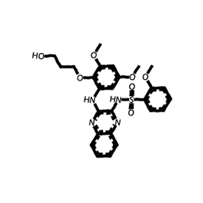 COc1cc(Nc2nc3ccccc3nc2NS(=O)(=O)c2ccccc2OC)c(OCCCO)c(OC)c1